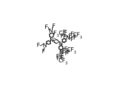 FCCN(CCF)c1ccc([N+](=C2C=CC(=[N+](c3ccc(N(CC(F)(F)C(F)(F)C(F)(F)F)CC(F)(F)C(F)(F)C(F)(F)F)cc3)c3ccc(N(CC(F)(F)C(F)(F)C(F)(F)F)CC(F)(F)C(F)(F)C(F)(F)F)cc3)C=C2)c2ccc(N(CCF)CCF)cc2)cc1